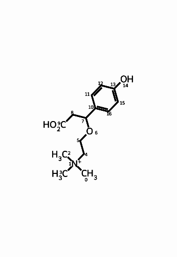 C[N+](C)(C)CCOC(CC(=O)O)c1ccc(O)cc1